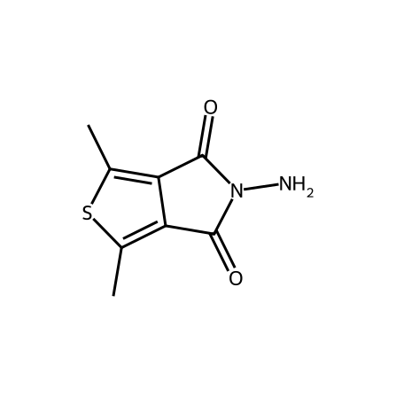 Cc1sc(C)c2c1C(=O)N(N)C2=O